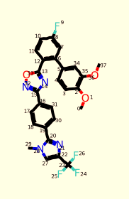 COc1ccc(-c2cc(F)ccc2-c2nc(-c3ccc(-c4nc(C(F)(F)F)cn4C)cc3)no2)cc1OC